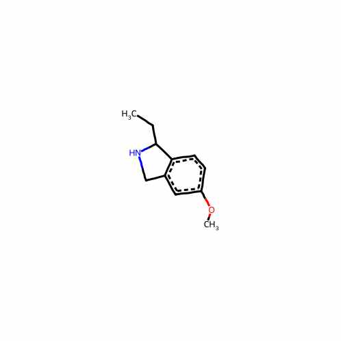 CCC1NCc2cc(OC)ccc21